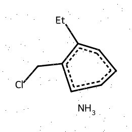 CCc1ccccc1CCl.N